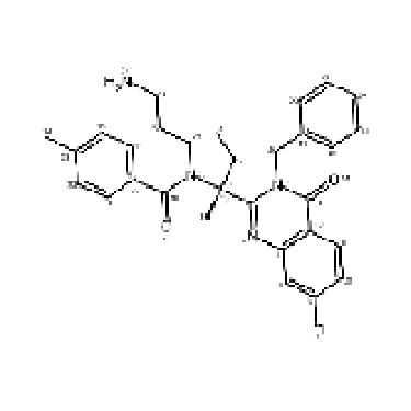 CC[C@](C)(c1nc2cc(Cl)ccc2c(=O)n1Cc1ccccc1)N(CCCN)C(=O)c1ccc(C)cc1